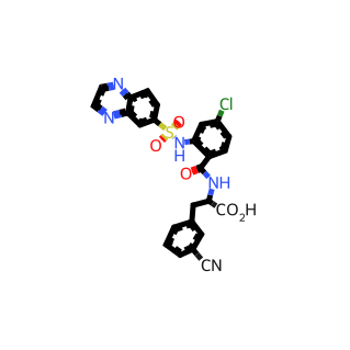 N#Cc1cccc(CC(NC(=O)c2ccc(Cl)cc2NS(=O)(=O)c2ccc3nccnc3c2)C(=O)O)c1